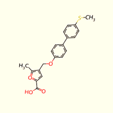 CSc1ccc(-c2ccc(OCc3cc(C(=O)O)oc3C)cc2)cc1